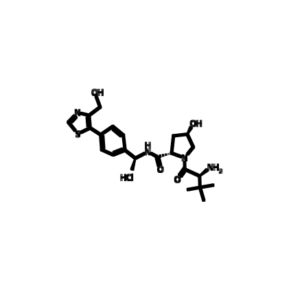 C[C@H](NC(=O)[C@@H]1C[C@@H](O)CN1C(=O)[C@@H](N)C(C)(C)C)c1ccc(-c2scnc2CO)cc1.Cl